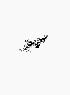 Cc1cc(C(=O)N[C@H]2CN(c3ncc(C(F)(F)F)cc3Cl)CC23CC3)cc(NC(=O)C(C)C)n1